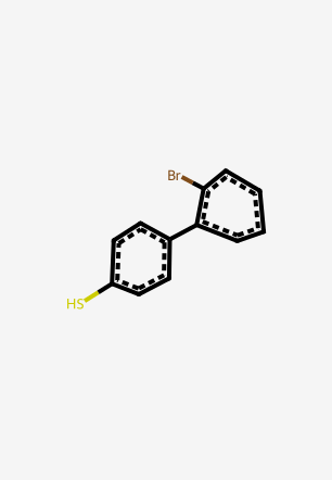 Sc1ccc(-c2ccccc2Br)cc1